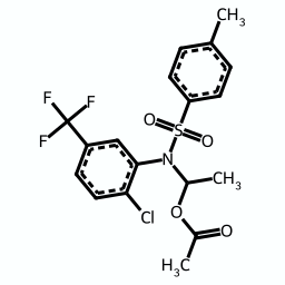 CC(=O)OC(C)N(c1cc(C(F)(F)F)ccc1Cl)S(=O)(=O)c1ccc(C)cc1